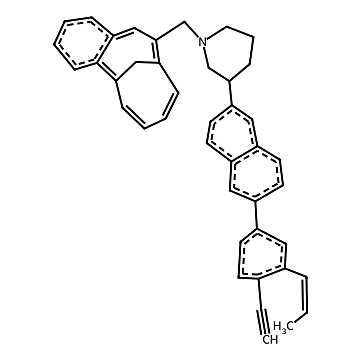 C#Cc1ccc(-c2ccc3cc(C4CCCN(CC5=C6C=CC=CC(=c7ccccc7=C5)C6)C4)ccc3c2)cc1/C=C\C